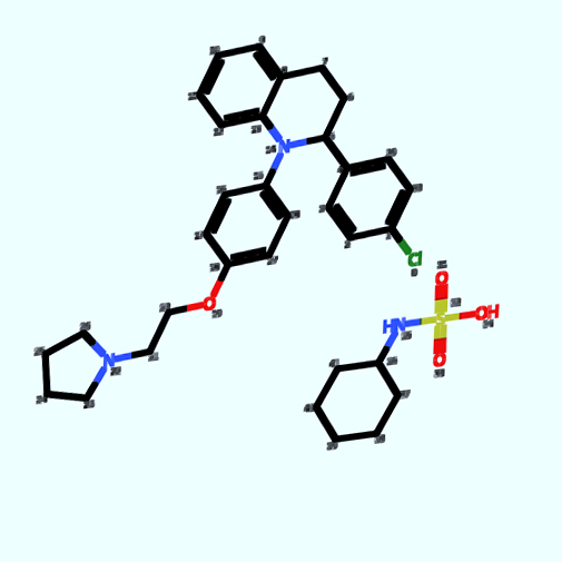 Clc1ccc(C2CCc3ccccc3N2c2ccc(OCCN3CCCC3)cc2)cc1.O=S(=O)(O)NC1CCCCC1